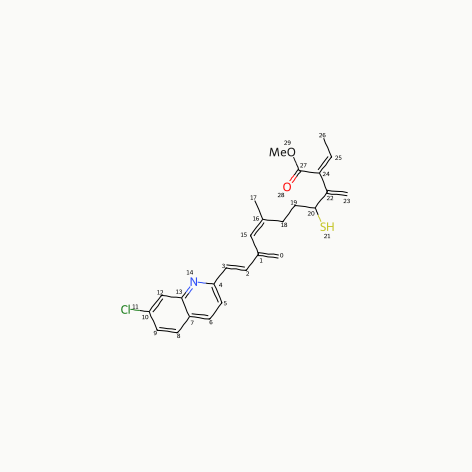 C=C(C=Cc1ccc2ccc(Cl)cc2n1)C=C(C)CCC(S)C(=C)C(=CC)C(=O)OC